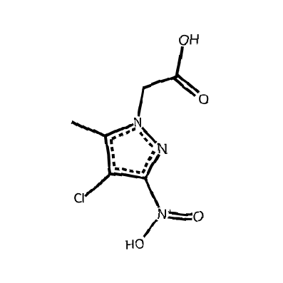 Cc1c(Cl)c([N+](=O)O)nn1CC(=O)O